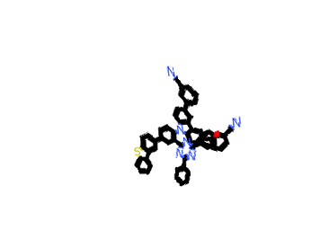 N#Cc1cccc(-c2ccc3c(c2)c2cc(-c4cccc(C#N)c4)ccc2n3-c2ccc(-c3ccc4sc5ccccc5c4c3)cc2-c2nc(-c3ccccc3)nc(-c3ccccc3)n2)c1